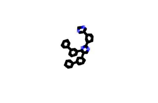 c1ccc(-c2cccc(-c3cnc(-c4cccc(-c5cncnc5)c4)nc3-c3cccc(-c4ccccc4)c3)c2)cc1